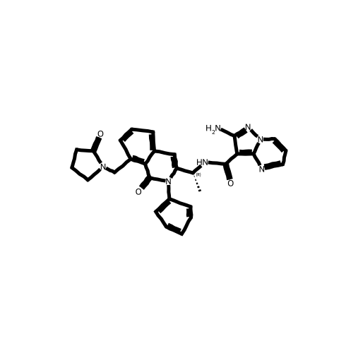 C[C@@H](NC(=O)c1c(N)nn2cccnc12)c1cc2cccc(CN3CCCC3=O)c2c(=O)n1-c1ccccc1